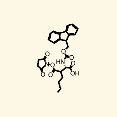 CCCCC(C(=O)ON1C(=O)CCC1=O)[C@H](NC(=O)OCC1c2ccccc2-c2ccccc21)C(=O)O